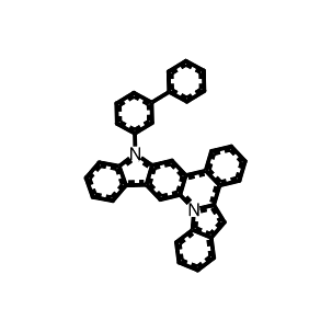 c1ccc(-c2cccc(-n3c4ccccc4c4cc5c(cc43)c3ccccc3c3cc4ccccc4n35)c2)cc1